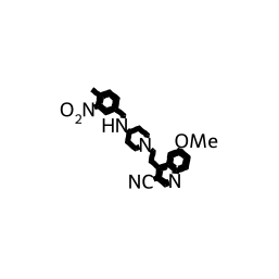 COc1ccc2ncc(C#N)c(CCN3CCC(NCc4ccc(C)c([N+](=O)[O-])c4)CC3)c2c1